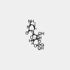 Nc1ccn([C@@H]2O[C@@H]3COP(=O)(O)O[C@H]3[C@H]2O)c(=O)n1